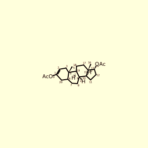 CC(=O)OC1=CC[C@@]2(C)C(CC[C@H]3[C@@H]4CC[C@H](OC(C)=O)[C@@]4(C)CC[C@@H]32)C1